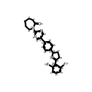 O=C1CCCCCN1c1ncc(-c2ccc(C3CCC(c4c(F)cccc4F)=N3)cc2)cn1